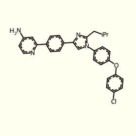 CC(C)Cc1nc(-c2ccc(-c3cc(N)ccn3)cc2)cn1-c1ccc(Oc2ccc(Cl)cc2)cc1